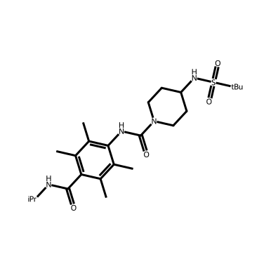 Cc1c(C)c(C(=O)NC(C)C)c(C)c(C)c1NC(=O)N1CCC(NS(=O)(=O)C(C)(C)C)CC1